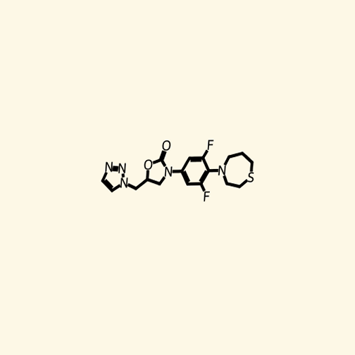 O=C1OC(Cn2ccnn2)CN1c1cc(F)c(N2CCCSCC2)c(F)c1